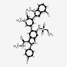 CCS(=O)(=O)Nc1cc2oc(-c3ccc(F)cc3)c(C(=O)NC)c2cc1-c1cc(-c2cc3c(F)cccc3n2C)c(=O)n(C)c1